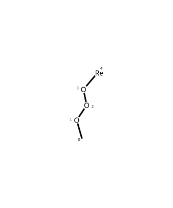 COO[O][Re]